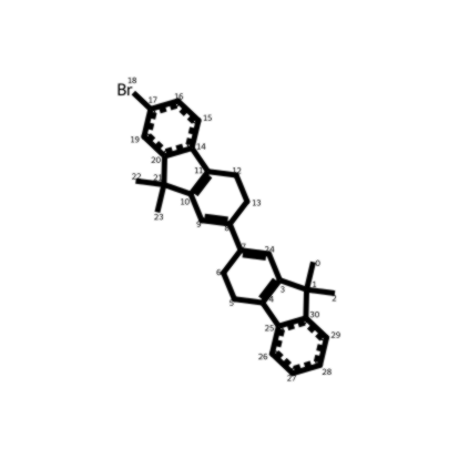 CC1(C)C2=C(CCC(C3=CC4=C(CC3)c3ccc(Br)cc3C4(C)C)=C2)c2ccccc21